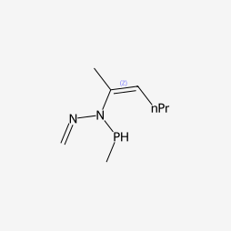 C=NN(PC)/C(C)=C\CCC